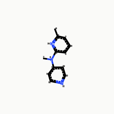 Cc1cccc(N(C)c2ccncc2)n1